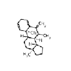 C=C1C2=CCC=C[C@]2(C)[C@H]2CC[C@]3(C)CCC[C@H]3[C@@H]2C1C